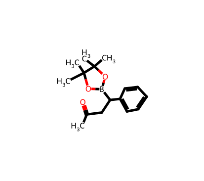 CC(=O)CC(B1OC(C)(C)C(C)(C)O1)c1ccccc1